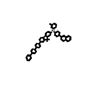 Cc1cccc(N(c2ccc(-c3ccc4ccccc4c3)cc2)c2ccc3c(c2)C(C)(C)c2cc(-c4ccc(-c5ccc(-c6ccccc6)cc5)cc4)ccc2-3)c1